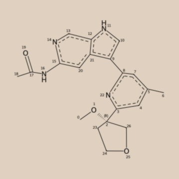 CO[C@@]1(c2cc(C)cc(-c3c[nH]c4cnc(NC(C)=O)cc34)n2)CCOC1